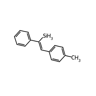 Cc1ccc(C=C([SiH3])c2ccccc2)cc1